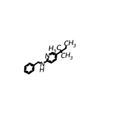 CCC(C)(C)c1ccc(NCc2ccccc2)nc1